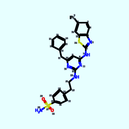 CC(C)c1ccc2nc(Nc3cc(Cc4ccccc4)nc(NCCc4ccc(S(N)(=O)=O)cc4)n3)sc2c1